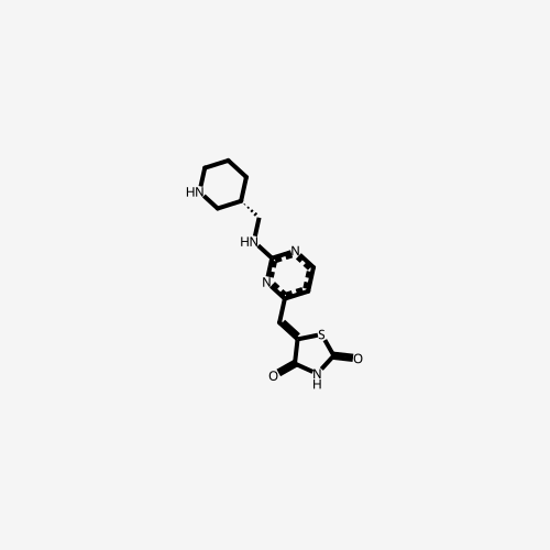 O=C1NC(=O)/C(=C/c2ccnc(NC[C@H]3CCCNC3)n2)S1